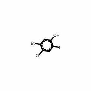 CCc1cc(O)c(I)cc1Cl